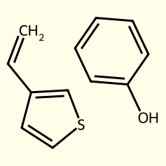 C=Cc1ccsc1.Oc1ccccc1